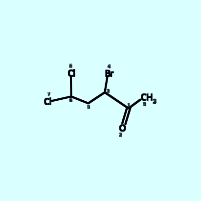 CC(=O)C(Br)CC(Cl)Cl